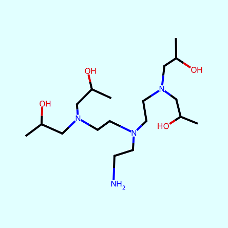 CC(O)CN(CCN(CCN)CCN(CC(C)O)CC(C)O)CC(C)O